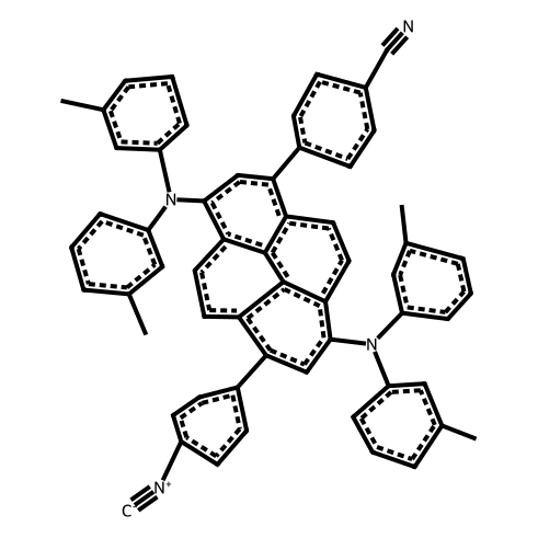 [C-]#[N+]c1ccc(-c2cc(N(c3cccc(C)c3)c3cccc(C)c3)c3ccc4c(-c5ccc(C#N)cc5)cc(N(c5cccc(C)c5)c5cccc(C)c5)c5ccc2c3c45)cc1